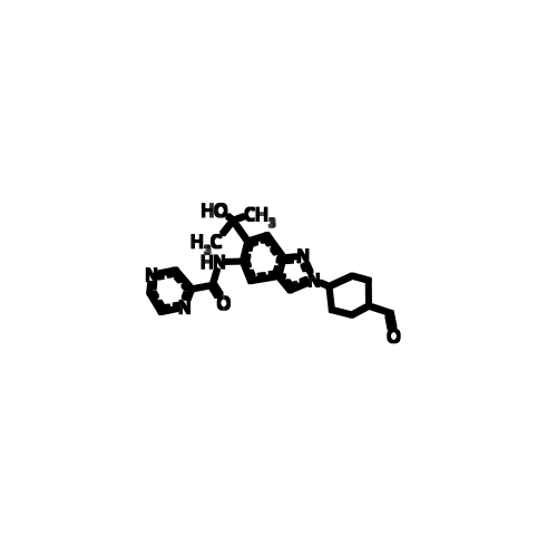 CC(C)(O)c1cc2nn(C3CCC(C=O)CC3)cc2cc1NC(=O)c1cnccn1